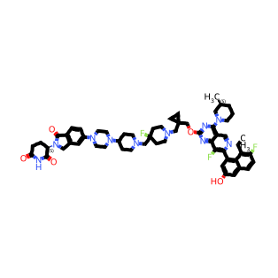 CCc1c(F)ccc2cc(O)cc(-c3ncc4c(N5CCC[C@H](C)C5)nc(OCC5(CN6CCC(F)(CN7CCC(N8CCN(c9ccc%10c(c9)CN([C@H]9CCC(=O)NC9=O)C%10=O)CC8)CC7)CC6)CC5)nc4c3F)c12